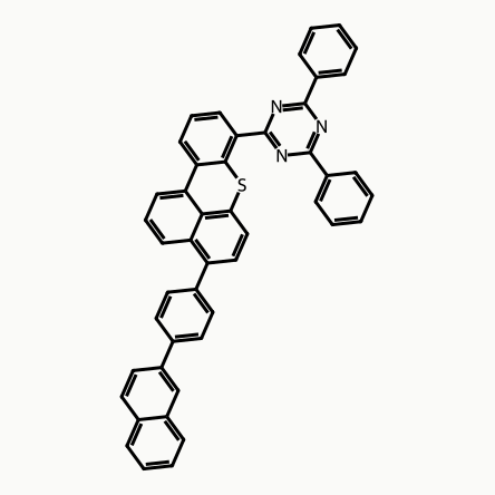 c1ccc(-c2nc(-c3ccccc3)nc(-c3cccc4c3Sc3ccc(-c5ccc(-c6ccc7ccccc7c6)cc5)c5cccc-4c35)n2)cc1